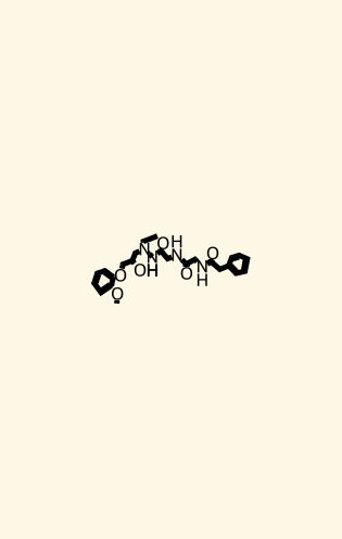 CCN(CC(O)COc1ccccc1OC)NC(=O)CNC(=O)CNC(=O)Cc1ccccc1